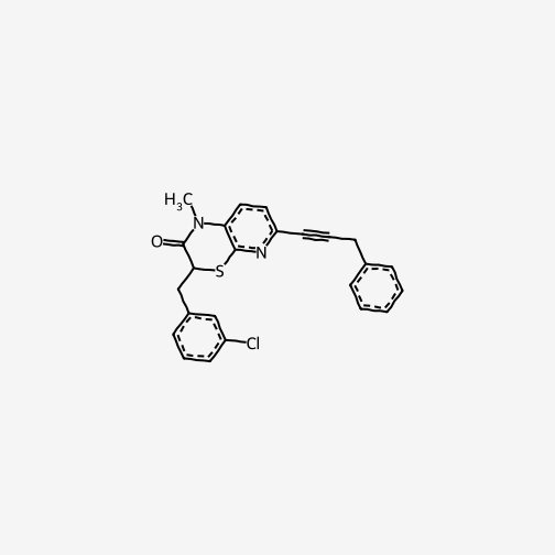 CN1C(=O)C(Cc2cccc(Cl)c2)Sc2nc(C#CCc3ccccc3)ccc21